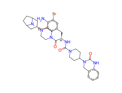 CN1C2CCC1CC(N1CCN(C(=O)[C@@H](Cc3cc(Br)c(N)c(Br)c3)NC(=O)N3CCC(N4Cc5ccccc5NC4=O)CC3)CC1)C2